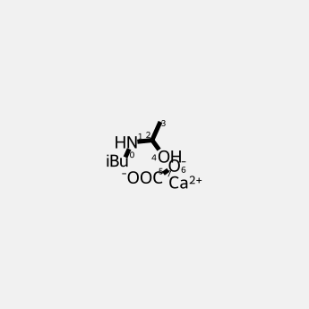 CCC(C)NC(C)O.O=C([O-])[O-].[Ca+2]